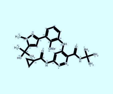 BC(B)(B)NC(=O)c1nnc(NC(=O)C2CC2)cc1Nc1cccc(-c2cc(C(C)(C)O)n(C)n2)c1OC